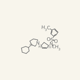 Cc1cccc(S(=O)(=O)N(C)[C@@H]2C=C[C@H](N3CCC[C@H](C4CCCCC4)C3)C2)c1